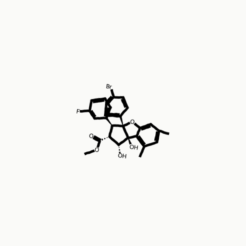 COC(=O)[C@H]1[C@@H](O)[C@@]2(O)c3c(C)cc(C)cc3O[C@@]2(c2ccc(Br)cc2)[C@@H]1c1cccc(F)c1